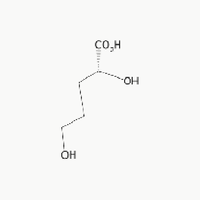 O=C(O)[C@H](O)CCCO